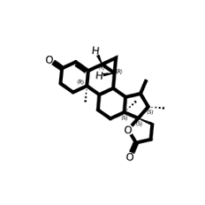 CC1C2C3C(CC[C@]2(C)[C@]2(CCC(=O)O2)[C@H]1C)[C@@]1(C)CCC(=O)C=C1[C@@H]1C[C@H]31